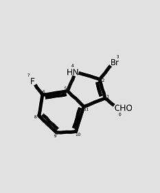 O=Cc1c(Br)[nH]c2c(F)cccc12